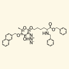 C[C@H]1O[C@@H](OCCCCC(NCc2ccccc2)C(=O)OCc2ccccc2)[C@H](N=[N+]=[N-])[C@@H](O)[C@@H]1OCc1ccc2ccccc2c1